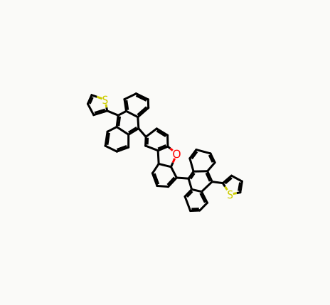 C1=CC2c3cc(-c4c5ccccc5c(-c5cccs5)c5ccccc45)ccc3OC2C(c2c3ccccc3c(-c3cccs3)c3ccccc23)=C1